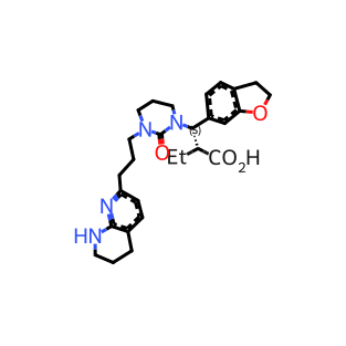 CCC(C(=O)O)[C@@H](c1ccc2c(c1)OCC2)N1CCCN(CCCc2ccc3c(n2)NCCC3)C1=O